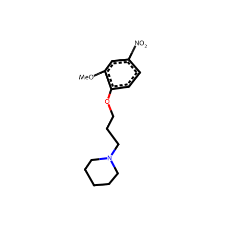 COc1cc([N+](=O)[O-])ccc1OCCCN1CCCCC1